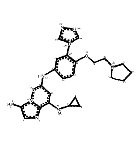 Nc1cnc2c(NC3CC3)cc(Nc3ccc(OCCN4CCCC4)c(-n4cnnc4)c3)nn12